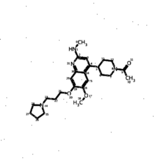 CNc1cc(C2CCN(C(C)=O)CC2)c2cc(OC)c(OCCCN3CCCC3)cc2n1